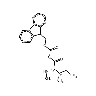 CC[C@H](C)[C@H](NC)C(=O)OC(=O)OCC1c2ccccc2-c2ccccc21